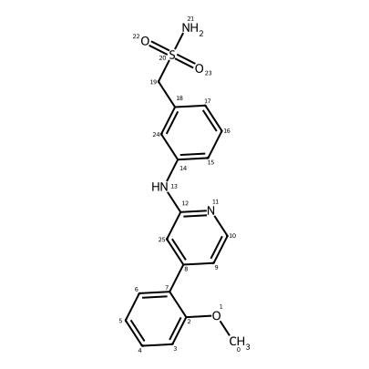 COc1ccccc1-c1ccnc(Nc2cccc(CS(N)(=O)=O)c2)c1